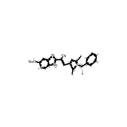 COc1cc2nc(/C(C#N)=C/c3cc(C)n([C@@H](C)c4ccccc4)c3C)[nH]c2cn1